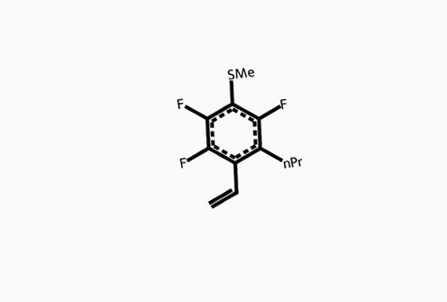 C=Cc1c(F)c(F)c(SC)c(F)c1CCC